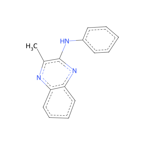 Cc1nc2ccccc2nc1Nc1ccccc1